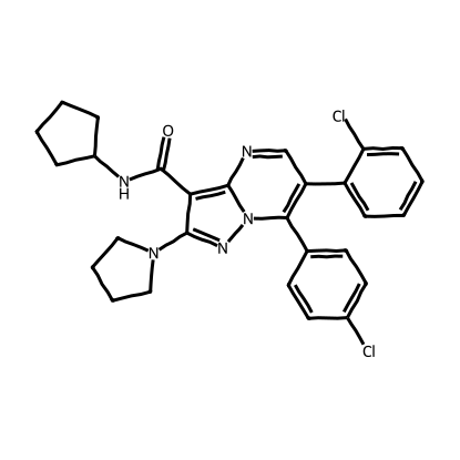 O=C(NC1CCCC1)c1c(N2CCCC2)nn2c(-c3ccc(Cl)cc3)c(-c3ccccc3Cl)cnc12